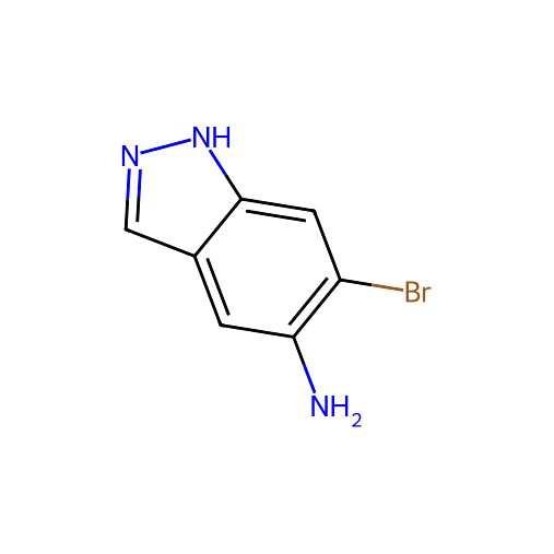 Nc1cc2cn[nH]c2cc1Br